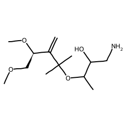 C=C([C@@H](COC)OC)C(C)(C)OC(C)C(O)CN